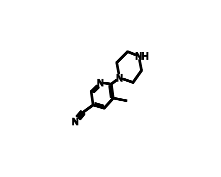 Cc1cc(C#N)cnc1N1CCNCC1